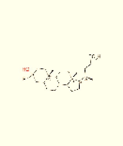 CCC1(O)CC[C@@]2(C)C(CCC3C2CC[C@@]2(C)C3CC[C@@H]2[C@H](C)CCC(=O)O)C1